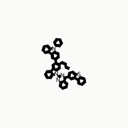 C=C/C=C\c1cc2c(cc1-c1ccc3c(c1)c1ccccc1n3-c1ccccc1)c1ccccc1n2-c1nc(-c2ccc3sc4ccccc4c3c2)c2ccccc2n1